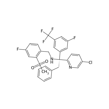 CS(=O)(=O)c1cc(F)ccc1CN[C@@](Cc1ccccc1)(c1cc(F)cc(C(F)(F)F)c1)c1ccc(Cl)cn1